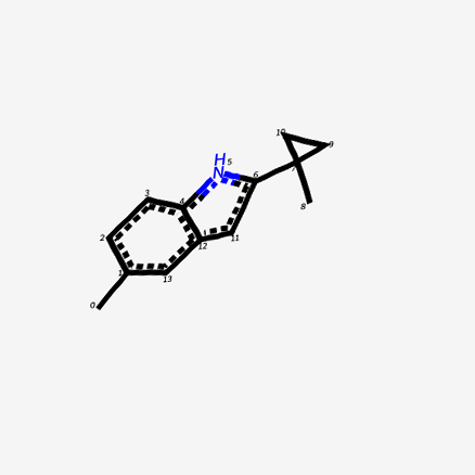 Cc1ccc2[nH]c(C3(C)CC3)cc2c1